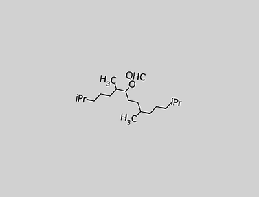 CC(C)CCCC(C)CCC(OC=O)C(C)CCCC(C)C